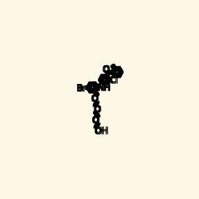 Cc1ccccc1C(=O)c1ccc(Nc2ccc(Br)cc2COCCOCCOCCO)cc1Cl